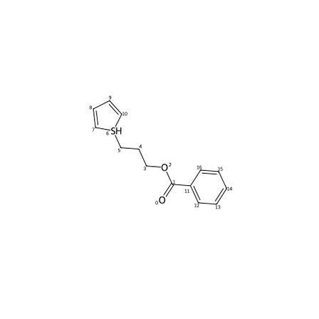 O=C(OCCC[SH]1C=CC=C1)c1ccccc1